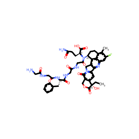 CC[C@@]1(O)C(=O)OCc2c1cc1n(c2=O)Cc2c-1nc1cc(F)c(C)c3c1c2[C@@H](N(C(=O)CNC(=O)CNC(=O)[C@H](Cc1ccccc1)NC(=O)CNC(=O)CN)[C@@H](CCC(N)=O)C(=O)O)CC3